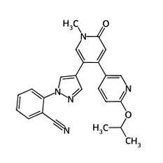 CC(C)Oc1ccc(-c2cc(=O)n(C)cc2-c2cnn(-c3ccccc3C#N)c2)cn1